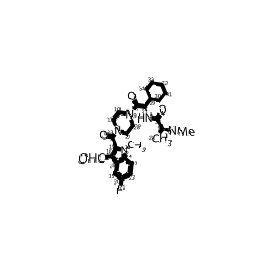 CN[C@@H](C)C(=O)N[C@H](C(=O)N1CCN(C(=O)c2c(C=O)c3cc(F)ccc3n2C)CC1)C1CCCCC1